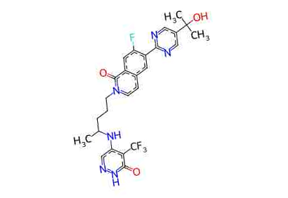 CC(CCCn1ccc2cc(-c3ncc(C(C)(C)O)cn3)c(F)cc2c1=O)Nc1cn[nH]c(=O)c1C(F)(F)F